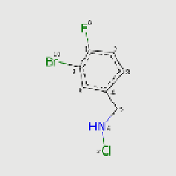 Fc1ccc(CNCl)cc1Br